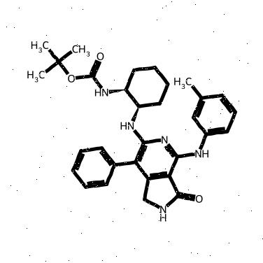 Cc1cccc(Nc2nc(N[C@@H]3CCCC[C@@H]3NC(=O)OC(C)(C)C)c(-c3ccccc3)c3c2C(=O)NC3)c1